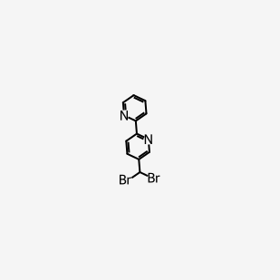 BrC(Br)c1ccc(-c2ccccn2)nc1